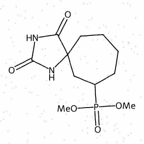 COP(=O)(OC)C1CCCCC2(C1)NC(=O)NC2=O